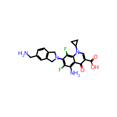 NCc1ccc2c(c1)CN(c1c(F)c(N)c3c(=O)c(C(=O)O)cn(C4CC4)c3c1F)C2